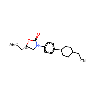 COC[C@H]1CN(c2ccc(C3CCC(CC#N)CC3)cc2)C(=O)O1